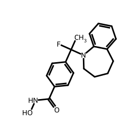 CC(F)(c1ccc(C(=O)NO)cc1)N1CCCCc2ccccc21